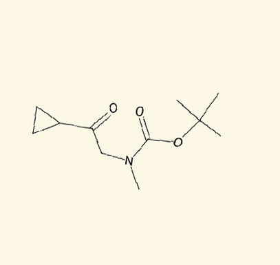 CN(CC(=O)C1CC1)C(=O)OC(C)(C)C